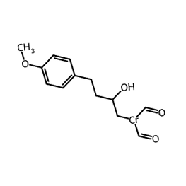 COc1ccc(CCC(O)[CH2][Cr]([CH]=O)[CH]=O)cc1